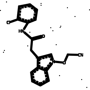 N#CCOn1cc(CC(=O)Nc2ccccc2Cl)c2ccccc21